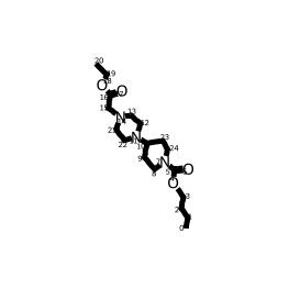 CCCCOC(=O)N1CCC(N2CCN(CC(=O)OCC)CC2)CC1